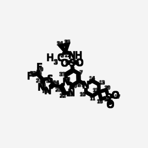 CC1(NS(=O)(=O)c2cc(N3CCC4(CC3)CS(=O)(=O)C4)c3ncc(-c4nnc(C(F)F)s4)n3c2)CC1